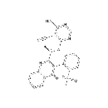 C[C@@H](Nc1ncnc(N)c1C#N)c1nc2ccccn2c(=O)c1-c1ccccc1S(C)(=O)=O